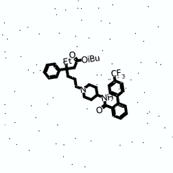 CCC(CCCN1CCC(NC(=O)c2ccccc2-c2ccc(C(F)(F)F)cc2)CC1)(CC(=O)OCC(C)C)c1ccccc1